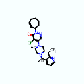 C[C@H](c1cccnc1CC(F)(F)F)N1CCN(c2cnn(C3C=CCCCC3)c(=O)c2Cl)[C@H](C)C1